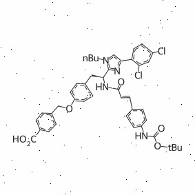 CCCCn1cc(-c2ccc(Cl)cc2Cl)nc1[C@H](Cc1ccc(OCc2ccc(C(=O)O)cc2)cc1)NC(=O)C=Cc1ccc(NC(=O)OC(C)(C)C)cc1